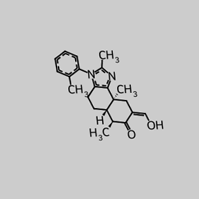 Cc1ccccc1-n1c(C)nc2c1CC[C@H]1[C@H](C)C(=O)/C(=C\O)C[C@]21C